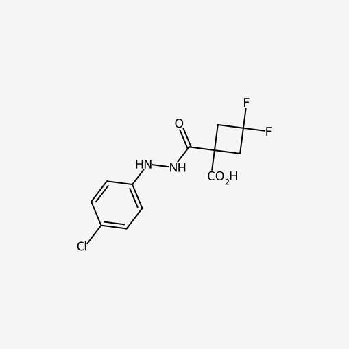 O=C(O)C1(C(=O)NNc2ccc(Cl)cc2)CC(F)(F)C1